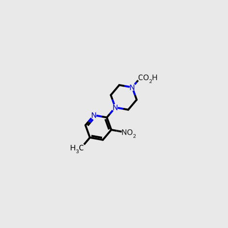 Cc1cnc(N2CCN(C(=O)O)CC2)c([N+](=O)[O-])c1